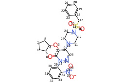 O=c1c(OC2CCCC2)c(N2CCN(S(=O)(=O)Cc3ccccc3)CC2)cnn1-c1ccccc1[N+](=O)[O-]